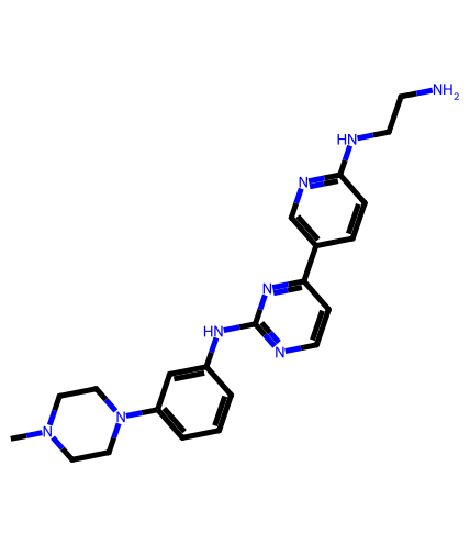 CN1CCN(c2cccc(Nc3nccc(-c4ccc(NCCN)nc4)n3)c2)CC1